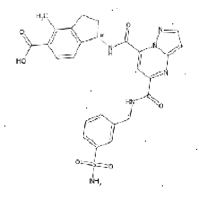 Cc1c(C(=O)O)ccc2c1CC[C@@H]2NC(=O)c1cc(C(=O)NCc2cccc(S(N)(=O)=O)c2)nc2ccnn12